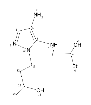 CCC(O)CNc1c(N)cnn1CCC(C)O